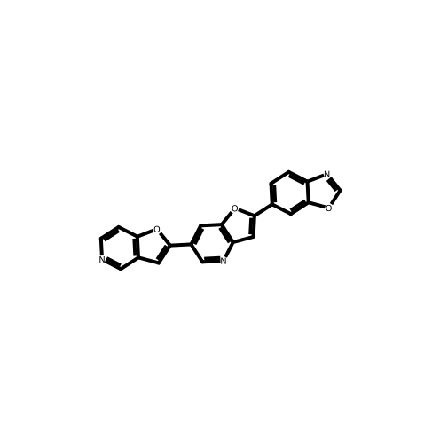 c1cc2oc(-c3cnc4cc(-c5ccc6ncoc6c5)oc4c3)cc2cn1